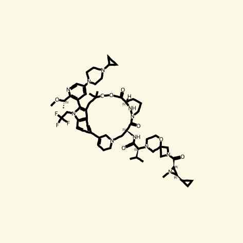 CO[C@@H](C)c1ncc(N2CCN(C3CC3)CC2)cc1-c1c2c3cc(ccc3n1CC(F)(F)F)C1=CCCN(C1)C[C@H](NC(=O)[C@H](C(C)C)N1CCOC3(CN(C(=O)[C@H]4[C@@H](C5CC5)N4C)C3)C1)C(=O)N1CCC[C@H](N1)C(=O)OCC(C)(C)C2